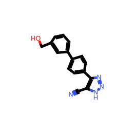 N#Cc1[nH]nnc1-c1ccc(-c2cccc(CO)c2)cc1